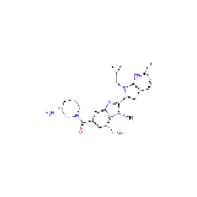 CCc1ccc2cc(-c3nc4cc(C(=O)N5CCC[C@@H](N)C5)cc(OC)c4n3C)n(CC3CC3)c2n1